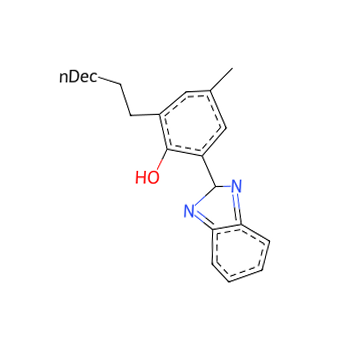 CCCCCCCCCCCCc1cc(C)cc(C2N=c3ccccc3=N2)c1O